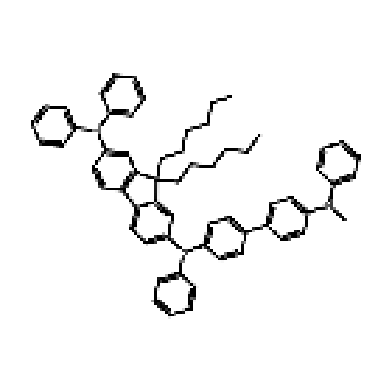 CCCCCCC1(CCCCCC)c2cc(N(c3ccccc3)c3ccccc3)ccc2-c2ccc(N(c3ccccc3)c3ccc(-c4ccc(N(C)c5ccccc5)cc4)cc3)cc21